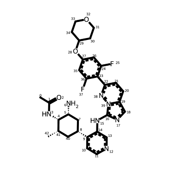 CC(=O)N[C@@H]1[C@H](N)C[C@H](c2ccncc2Nc2ncc3ccc(-c4c(F)cc(OC5CCOCC5)cc4F)nn23)C[C@@H]1C